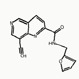 C#Cc1cncc2ccc(C(=O)NCc3ccco3)nc12